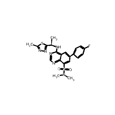 Cc1nnc([C@@H](C)Nc2ncnc3c(S(=O)(=O)N(C)C)cc(-c4ccc(F)cc4)cc23)s1